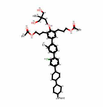 CCCCCC1CCC(C2CCC(c3ccc(-c4ccc(-c5cc(CCCOC(=O)C(C)C)c(OCCC(CO)(CO)CCCC)c(CCCOC(=O)C(C)C)c5)c(CC)c4)c(F)c3)CC2)CC1